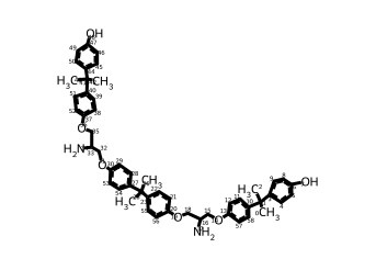 CC(C)(c1ccc(O)cc1)c1ccc(OCC(N)COc2ccc(C(C)(C)c3ccc(OCC(N)COc4ccc(C(C)(C)c5ccc(O)cc5)cc4)cc3)cc2)cc1